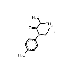 [CH2]CN(C(=O)C(C)C)c1ccc(C)cc1